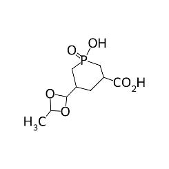 CC1OC(C2CC(C(=O)O)CP(=O)(O)C2)O1